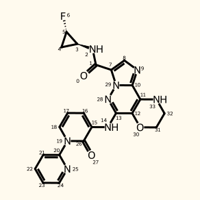 O=C(N[C@H]1C[C@@H]1F)c1cnc2c3c(c(Nc4cccn(-c5ccccn5)c4=O)nn12)OCCN3